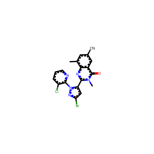 Cc1cc(C#N)cc2c(=O)n(C)c(-c3cc(Br)nn3-c3ncccc3Cl)nc12